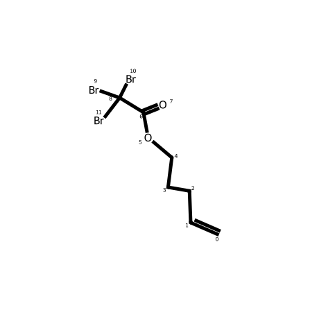 C=CCCCOC(=O)C(Br)(Br)Br